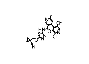 COc1cnc(Cl)cc1-c1cc(C)ncc1C(=O)Nc1nnc(OCC2(C#N)CC2)s1